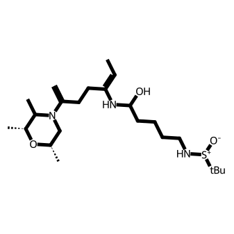 C=C(CC/C(=C\C)NC(O)CCCCN[S+]([O-])C(C)(C)C)N1C[C@H](C)O[C@H](C)C1C